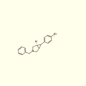 CCc1ccc(C2C3CN(Cc4ccccc4)C[C@H]32)cc1